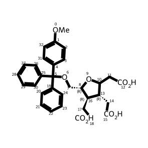 COc1ccc(C(OC[C@@H]2OC(CC(=O)O)[C@H](CC(=O)O)[C@H]2CC(=O)O)(c2ccccc2)c2ccccc2)cc1